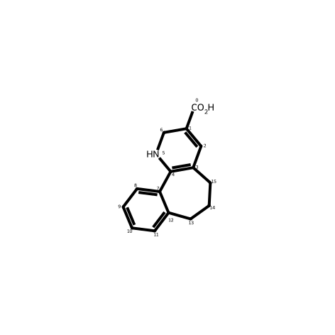 O=C(O)C1=CC2=C(NC1)c1ccccc1CCC2